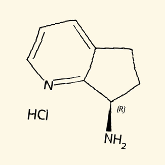 Cl.N[C@@H]1CCc2cccnc21